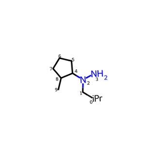 CC(C)CN(N)C1CCCC1C